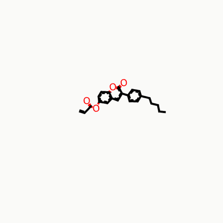 C=CC(=O)Oc1ccc2oc(=O)c(-c3ccc(CCCCC)cc3)cc2c1